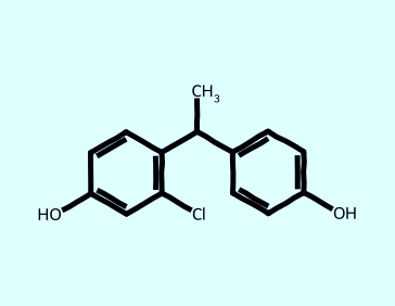 CC(c1ccc(O)cc1)c1ccc(O)cc1Cl